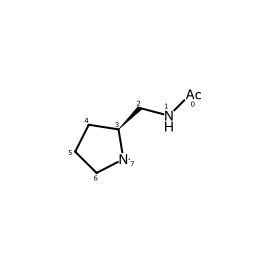 CC(=O)NC[C@@H]1CCC[N]1